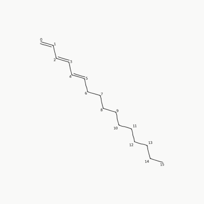 C=CC=CC=CCCCCCCCCCC